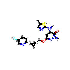 Cc1cnc(N(C)c2cc(OC[C@H]3C[C@@H]3c3ccc(F)cn3)nn(C)c2=O)s1